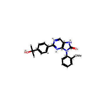 COc1ccccc1-n1c(=O)[nH]c2cnc(-c3ccc(C(C)(C)O)cc3)nc21